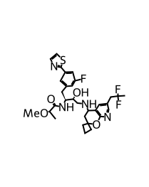 CO[C@H](C)C(=O)N[C@@H](Cc1cc(F)cc(-c2nccs2)c1)[C@@H](O)CNC1CC2(CCC2)Oc2ncc(CC(C)(F)F)cc21